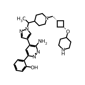 CC(C1CCN(C[C@H]2C[C@@H](OC3CCNCC3)C2)CC1)n1cc(-c2cc(-c3ccccc3O)nnc2N)cn1